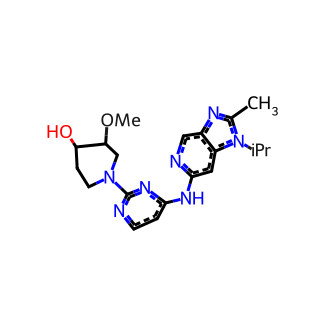 COC1CN(c2nccc(Nc3cc4c(cn3)nc(C)n4C(C)C)n2)CCC1O